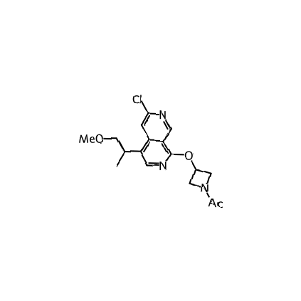 COCC(C)c1cnc(OC2CN(C(C)=O)C2)c2cnc(Cl)cc12